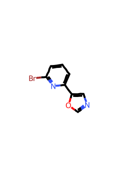 Brc1cccc(-c2cnco2)n1